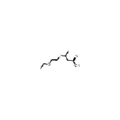 CCOCCOC(C)CC(=O)O